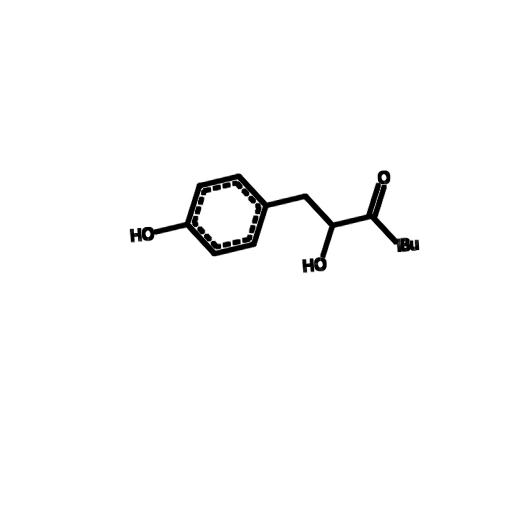 CCC(C)C(=O)C(O)Cc1ccc(O)cc1